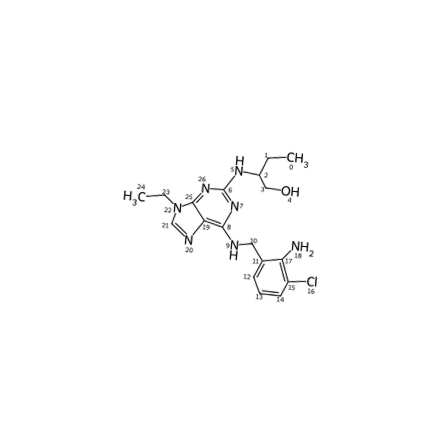 CCC(CO)Nc1nc(NCc2cccc(Cl)c2N)c2ncn(CC)c2n1